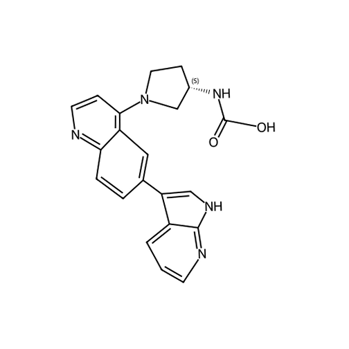 O=C(O)N[C@H]1CCN(c2ccnc3ccc(-c4c[nH]c5ncccc45)cc23)C1